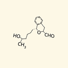 CC(O)CCCC[C@H]1OC(C=O)Cc2ccccc21